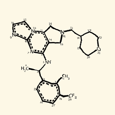 Cc1c([C@@H](C)Nc2nc3nccn3c3c2CN(CC2CCOCC2)C3)cccc1C(F)(F)F